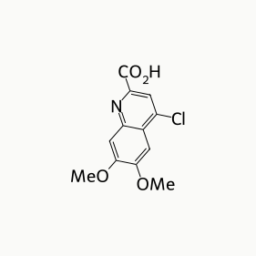 COc1cc2nc(C(=O)O)cc(Cl)c2cc1OC